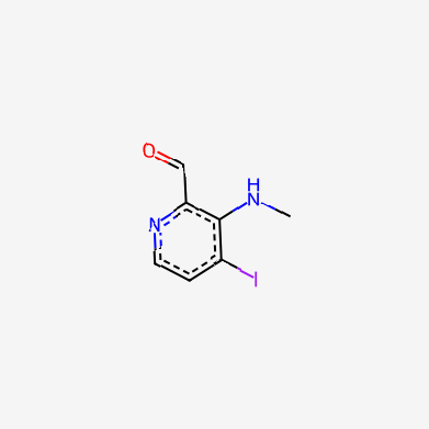 CNc1c(I)ccnc1C=O